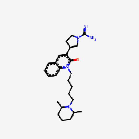 CC1CCCC(C)N1CCCCCn1c(=O)c(C2CCN(C(=N)N)C2)cc2ccccc21